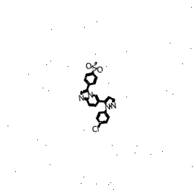 CS(=O)(=O)c1ccc(-c2cnc3ccc(-c4ccnn4-c4ccc(Cl)cc4)cn23)cc1